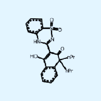 CCCC1(CCC)C(=O)C(C2=NS(=O)(=O)c3ccccc3N2)=C(O)c2ccccc21